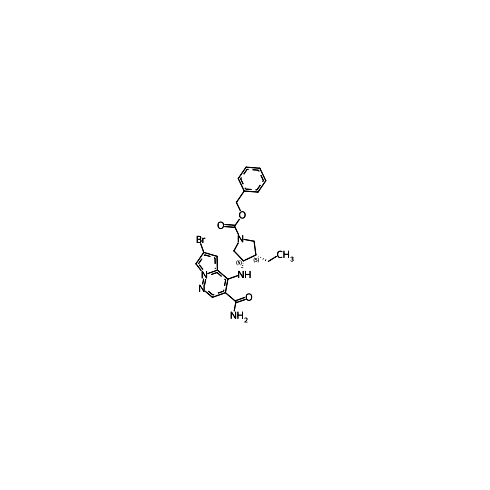 CC[C@H]1CN(C(=O)OCc2ccccc2)C[C@H]1Nc1c(C(N)=O)cnn2cc(Br)cc12